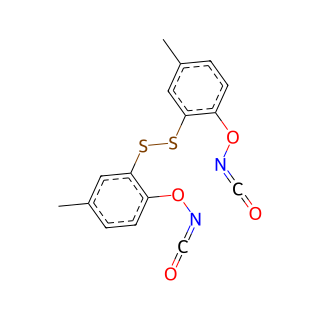 Cc1ccc(ON=C=O)c(SSc2cc(C)ccc2ON=C=O)c1